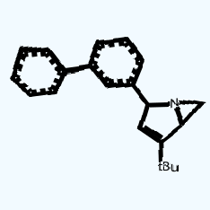 CC(C)(C)C1=CC(c2cccc(-c3ccccc3)c2)N2CC12